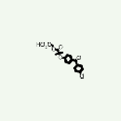 CC(C)(Oc1ccc(C(=O)c2ccc(Cl)cc2)cc1)C(=O)OCC(=O)O